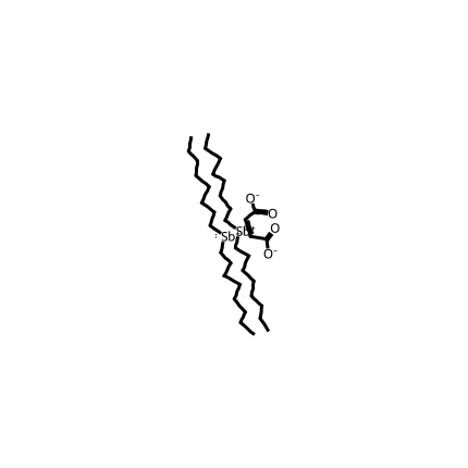 CCCCCCC[CH2][Sb+][CH2]CCCCCCC.CCCCCCC[CH2][Sb+][CH2]CCCCCCC.O=C([O-])/C=C\C(=O)[O-]